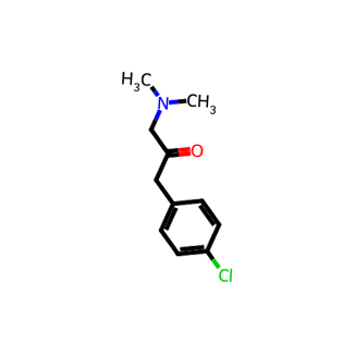 CN(C)CC(=O)Cc1ccc(Cl)cc1